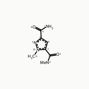 CNC(=O)c1cc(C(N)=O)nn1C